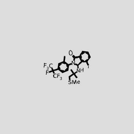 CSCC(C)(C)NC1c2c(I)cccc2C(=O)N1c1ccc(C(F)(C(F)(F)F)C(F)(F)F)cc1C